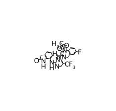 CN(c1ccc(F)cc1CNc1nc(Nc2cccc3c2NC(=O)C3)ncc1C(F)(F)F)S(C)(=O)=O